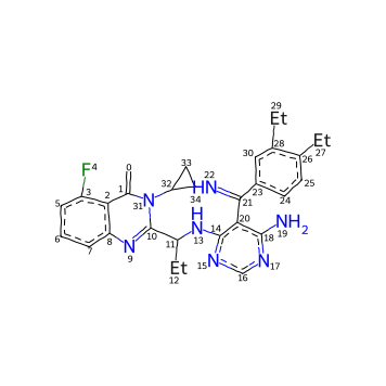 C=C1c2c(F)cccc2N=C(C(CC)Nc2ncnc(N)c2C(=N)c2ccc(CC)c(CC)c2)N1C1CC1